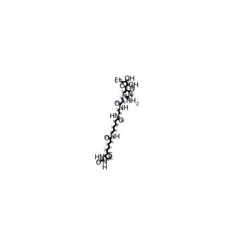 CCC1OC(c2cn(/C=C/C(=O)NCCNC(=O)CCCCCNC(=O)CCCCC3SCC4NC(=O)NC43)c(N)nc2=O)C(O)C1O